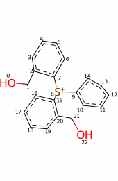 OCc1ccccc1[S+](c1ccccc1)c1ccccc1CO